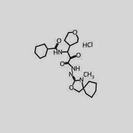 CN1C(=NNC(=O)C(=O)C(NC(=O)C2CCCCC2)C2CCOCC2)OCC12CCCCC2.Cl